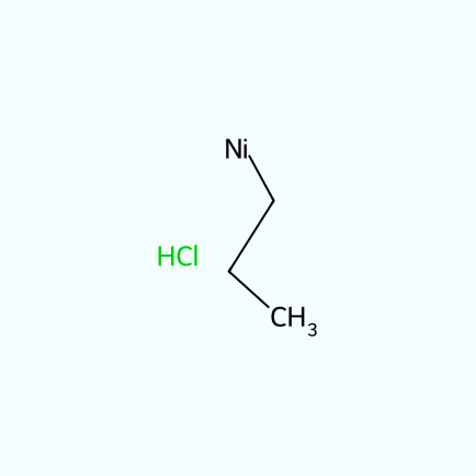 CC[CH2][Ni].Cl